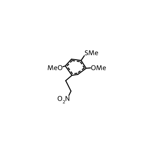 COc1cc(SC)c(OC)cc1CC[N+](=O)[O-]